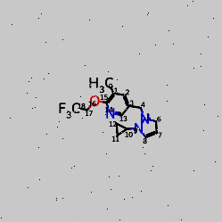 Cc1cc(CN2CC=CN2C2CC2)cnc1OCC(F)(F)F